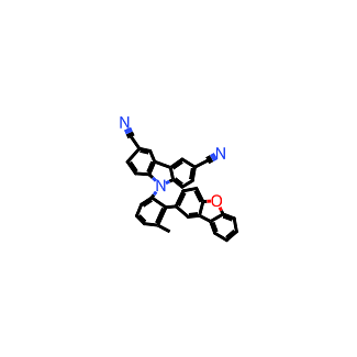 Cc1cccc(-n2c3ccc(C#N)cc3c3cc(C#N)ccc32)c1-c1ccc2oc3ccccc3c2c1